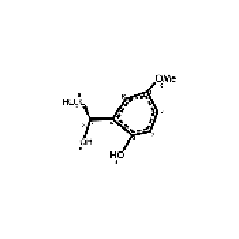 COc1ccc(O)c([C@@H](O)C(=O)O)c1